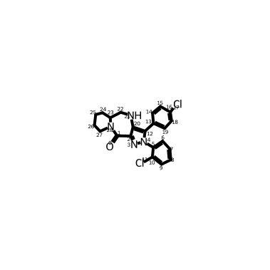 O=C1c2nn(-c3ccccc3Cl)c(-c3ccc(Cl)cc3)c2NCC2CCCCN12